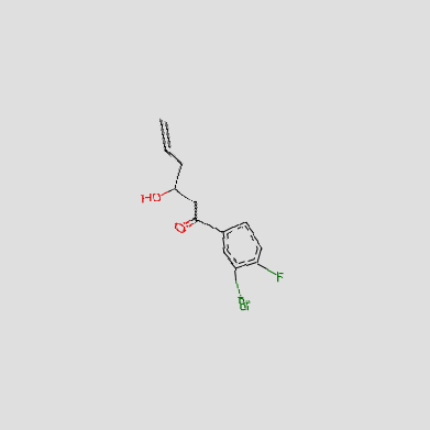 C=CCC(O)CC(=O)c1ccc(F)c(Br)c1